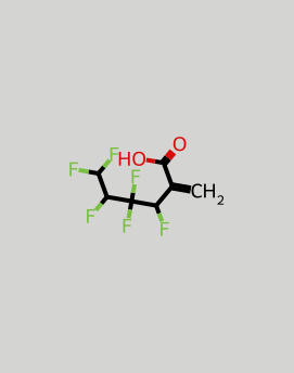 C=C(C(=O)O)C(F)C(F)(F)C(F)C(F)F